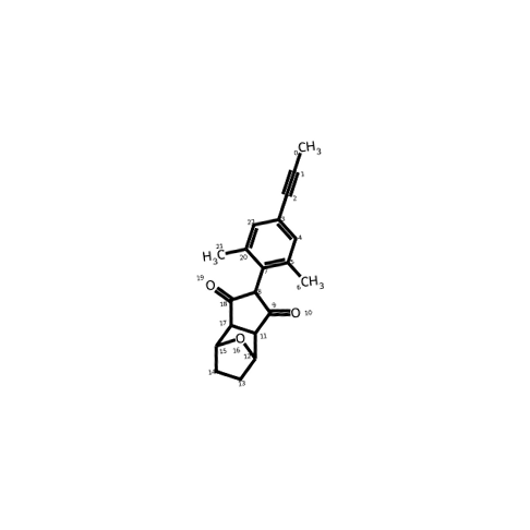 CC#Cc1cc(C)c(C2C(=O)C3C4CCC(O4)C3C2=O)c(C)c1